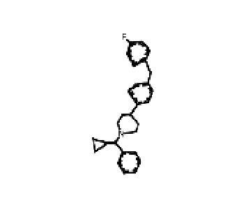 Fc1ccc(Cc2ccc(C3CCN(C(c4ccccc4)C4CC4)CC3)cc2)cc1